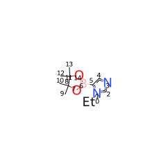 CCn1cncc1B1OC(C)(C)C(C)(C)O1